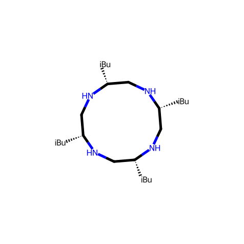 CCC(C)[C@@H]1CN[C@H](C(C)CC)CN[C@H](C(C)CC)CN[C@H](C(C)CC)CN1